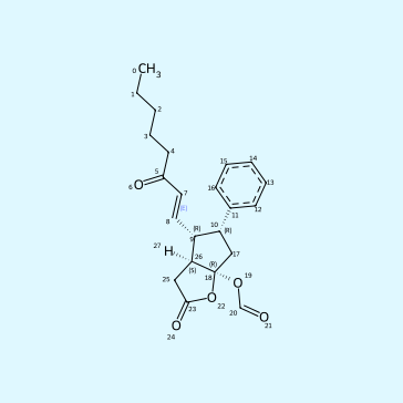 CCCCCC(=O)/C=C/[C@@H]1[C@H](c2ccccc2)C[C@@]2(OC=O)OC(=O)C[C@@H]12